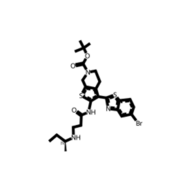 CC[C@H](C)NCCC(=O)Nc1sc2c(c1-c1nc3cc(Br)ccc3s1)CCN(C(=O)OC(C)(C)C)C2